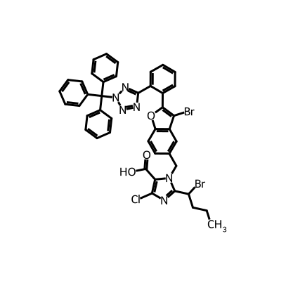 CCCC(Br)c1nc(Cl)c(C(=O)O)n1Cc1ccc2oc(-c3ccccc3-c3nnn(C(c4ccccc4)(c4ccccc4)c4ccccc4)n3)c(Br)c2c1